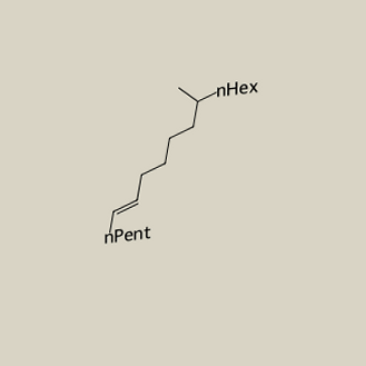 [CH2]CCCCC=CCCCCC(C)CCCCC[CH2]